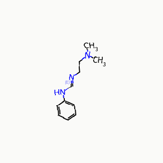 CN(C)CC/N=C/Nc1ccccc1